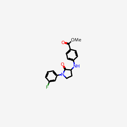 COC(=O)c1ccc(NC2CCN(c3cccc(F)c3)C2=O)cc1